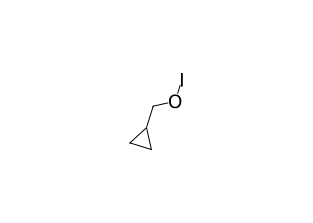 IOCC1CC1